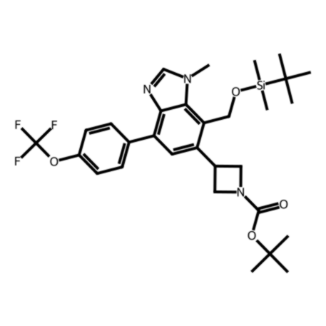 Cn1cnc2c(-c3ccc(OC(F)(F)F)cc3)cc(C3CN(C(=O)OC(C)(C)C)C3)c(CO[Si](C)(C)C(C)(C)C)c21